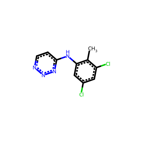 Cc1c(Cl)cc(Cl)cc1Nc1ccnnn1